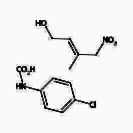 CC(=CCO)C[N+](=O)[O-].O=C(O)Nc1ccc(Cl)cc1